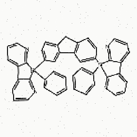 c1ccc([Si]2(c3ccc4c(c3)-c3cc([Si]5(c6ccccc6)c6ncccc6-c6cccnc65)ccc3C4)c3ncccc3-c3cccnc32)cc1